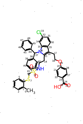 Cc1ccccc1SCS(=O)(=O)NCCc1c(CCOc2ccc(C(=O)O)cc2)c2ccc(Cl)cc2n1C(c1ccccc1)c1ccccc1